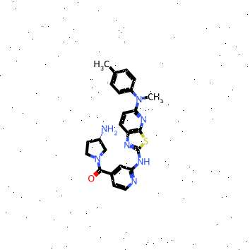 Cc1ccc(N(C)c2ccc3nc(Nc4cc(C(=O)N5CC[C@H](N)C5)ccn4)sc3n2)cc1